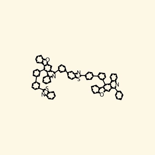 c1ccc(-c2nc3ccccc3c3c(-c4cccc(-c5ccc(-c6nc7cc(-c8cccc(-c9nc%10ccccc%10c%10c(-c%11cccc(-c%12cccc(-c%13nc%14ccccc%14s%13)c%12)c%11)c%11c(cc9%10)oc9ccccc9%11)c8)ccc7s6)cc5)c4)c4c(cc23)oc2ccccc24)cc1